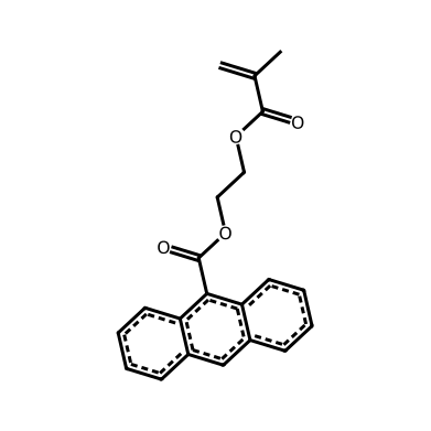 C=C(C)C(=O)OCCOC(=O)c1c2ccccc2cc2ccccc12